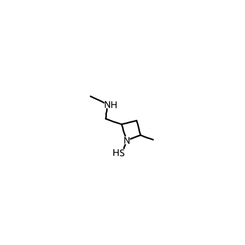 CNCC1CC(C)N1S